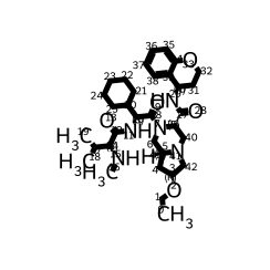 CCO[C@@H]1C[C@@H]2CN(C(=O)[C@@H](NC(=O)[C@@H](NC)C(C)C)C3CCCCC3)[C@H](C(=O)N[C@@H]3CCOc4ccccc43)CN2C1